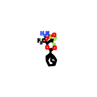 NS(=O)(=O)C(F)(F)C(OC(=O)C12CC3CC(CC1C3)C2)C(F)(F)F